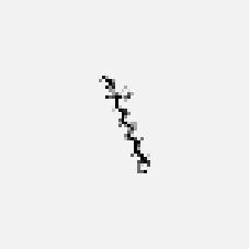 CCOC(=O)CCCCCC=CC=O